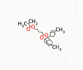 C=C(C)C(=O)OCCCCC(=O)OC1(C2CC3CC2CC3C)C2CC3CC1CC(C)(C3)C2